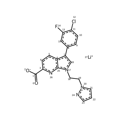 O=C([O-])c1ccc2c(-c3ccc(Cl)c(F)c3)cn(CCn3cccn3)c2n1.[Li+]